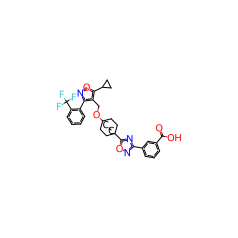 O=C(O)c1cccc(-c2noc(C34CCC(OCc5c(-c6ccccc6C(F)(F)F)noc5C5CC5)(CC3)CC4)n2)c1